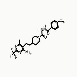 COc1ccc(C(=O)N[C@@H](C)C(=O)N2CCC(CCc3c(C)nc(C(F)(F)F)nc3N)CC2)cc1